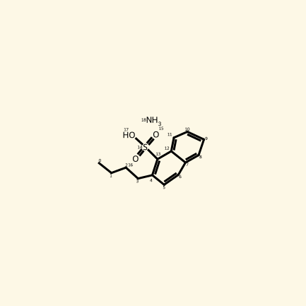 CCCCc1ccc2ccccc2c1S(=O)(=O)O.N